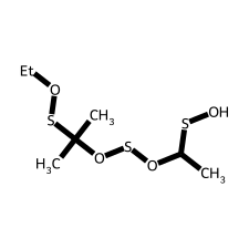 CCOSC(C)(C)OSOC(C)SO